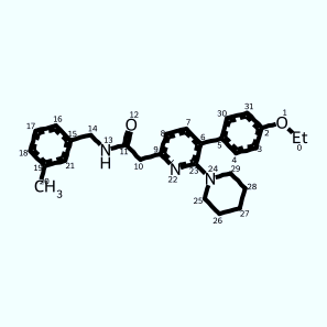 CCOc1ccc(-c2ccc(CC(=O)NCc3cccc(C)c3)nc2N2CCCCC2)cc1